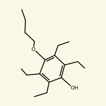 CCCCOc1c(CC)c(CC)c(O)c(CC)c1CC